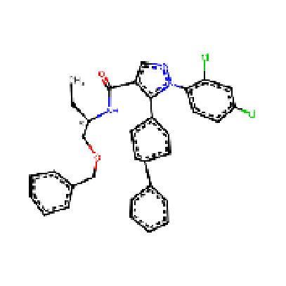 CC[C@H](COCc1ccccc1)NC(=O)c1cnn(-c2ccc(Cl)cc2Cl)c1-c1ccc(-c2ccccc2)cc1